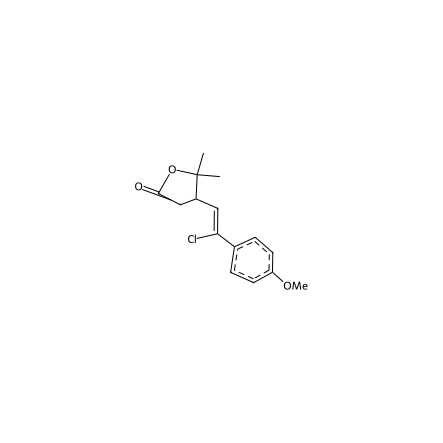 COc1ccc(C(Cl)=CC2CC(=O)OC2(C)C)cc1